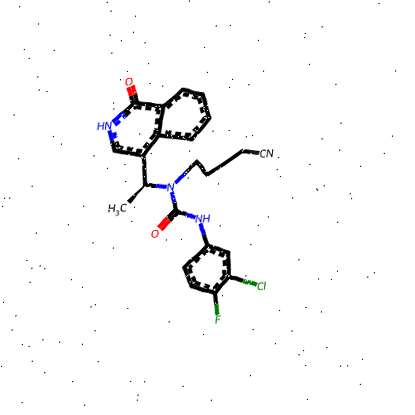 C[C@@H](c1c[nH]c(=O)c2ccccc12)N(CCCC#N)C(=O)Nc1ccc(F)c(Cl)c1